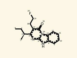 CC[C@H](C)c1nc2[nH]c3ccccc3n2c(=O)c1CCF